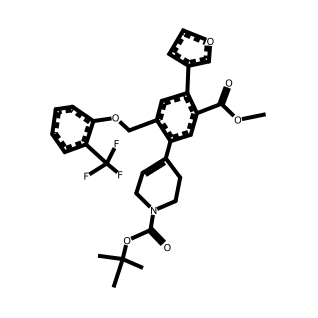 COC(=O)c1cc(C2=CCN(C(=O)OC(C)(C)C)CC2)c(COc2ccccc2C(F)(F)F)cc1-c1ccoc1